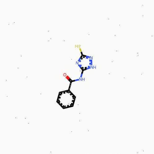 O=C(Nc1nc(S)n[nH]1)c1ccccc1